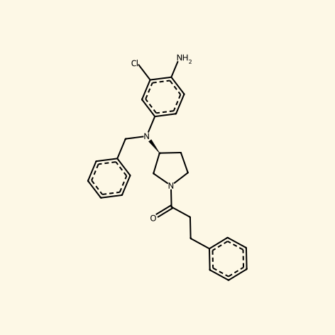 Nc1ccc(N(Cc2ccccc2)[C@H]2CCN(C(=O)CCc3ccccc3)C2)cc1Cl